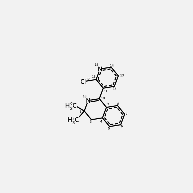 CC1(C)Cc2ccccc2C(c2cccnc2Cl)=N1